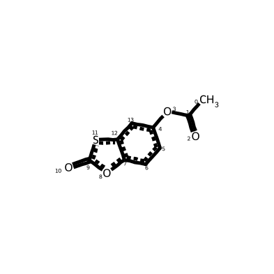 CC(=O)Oc1ccc2oc(=O)sc2c1